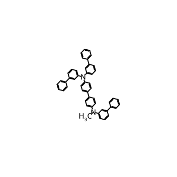 CN(c1ccc(-c2ccc(N(c3cccc(-c4ccccc4)c3)c3cccc(-c4ccccc4)c3)cc2)cc1)c1cccc(-c2ccccc2)c1